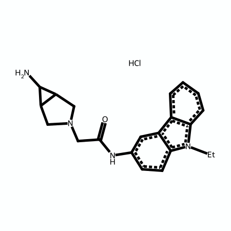 CCn1c2ccccc2c2cc(NC(=O)CN3CC4C(N)C4C3)ccc21.Cl